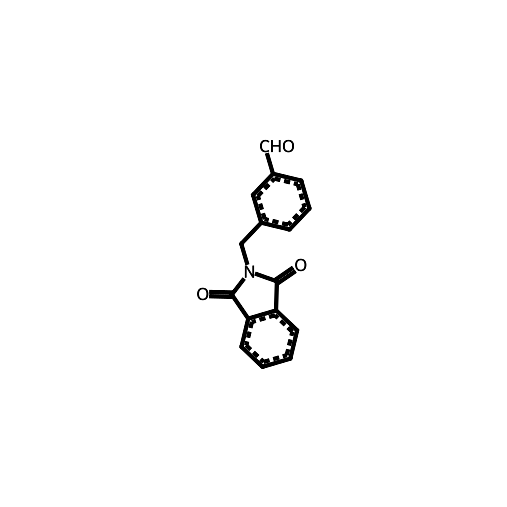 O=Cc1cccc(CN2C(=O)c3ccccc3C2=O)c1